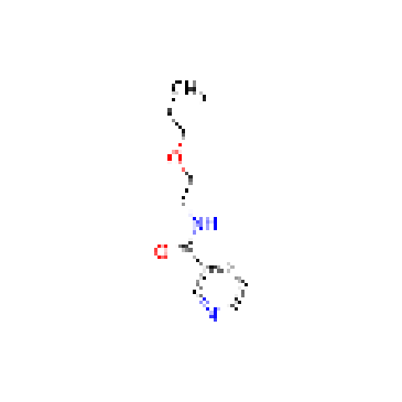 CCCOCCNC(=O)c1cccnc1